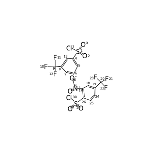 O=S(=O)(Cl)c1cccc(C(F)(F)F)c1.O=[N+]([O-])c1cc(C(F)(F)F)ccc1S(=O)(=O)Cl